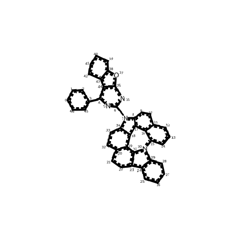 c1ccc(-c2nc(-n3c4ccc5cccc6c5c4c4c5c(ccc7c8ccccc8n6c75)ccc43)nc3oc4ccccc4c23)cc1